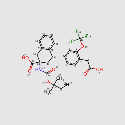 O=C(O)Cc1ccccc1OC(F)(F)F.[2H]CC(C)(C)OC(=O)NC1(C(=O)O)CCc2ccccc2C1